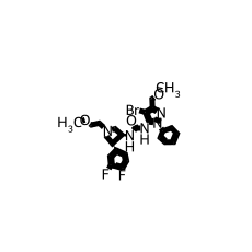 COCCN1C[C@@H](NC(=O)Nc2c(Br)c(COC)nn2C2C=CC=CC2)[C@H](c2ccc(F)c(F)c2)C1